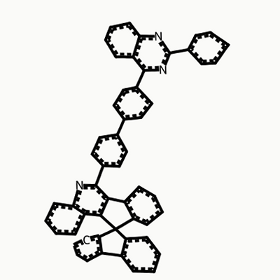 c1ccc(-c2nc(-c3ccc(-c4ccc(-c5nc6ccccc6c6c5-c5ccccc5C65c6ccccc6-c6ccccc65)cc4)cc3)c3ccccc3n2)cc1